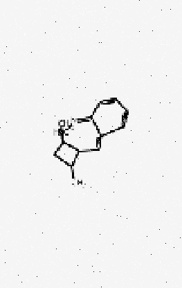 C/N=C1/C=CC=C/C1=C/C1C(C)CC1C